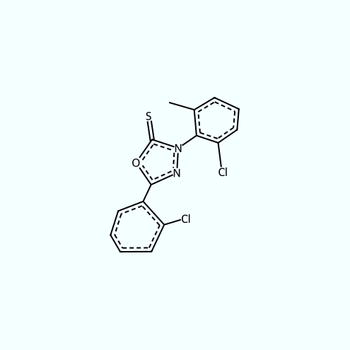 Cc1cccc(Cl)c1-n1nc(-c2ccccc2Cl)oc1=S